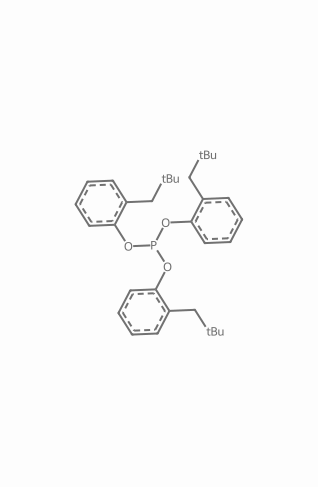 CC(C)(C)Cc1ccccc1OP(Oc1ccccc1CC(C)(C)C)Oc1ccccc1CC(C)(C)C